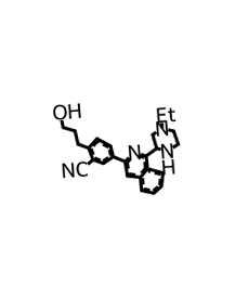 CCN1CCNC(c2nc(-c3ccc(CCCO)c(C#N)c3)cc3ccccc23)C1